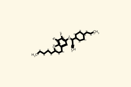 C#CC(Oc1cc2c(c(F)c1F)OC(CCCCC)CC2)C1CCC(CCC)CC1